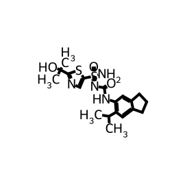 CC(C)c1cc2c(cc1NC(=O)N=S(N)(=O)c1cnc(C(C)(C)O)s1)CCC2